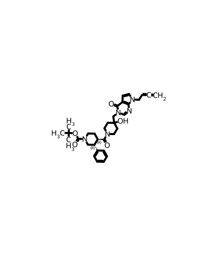 C=C=CCn1ccc2c(=O)n(CC3(O)CCN(C(=O)[C@@H]4CCN(C(=O)OC(C)(C)C)C[C@H]4c4ccccc4)CC3)cnc21